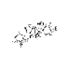 Cc1ccc(-c2csc(NC(=O)c3ccc(F)c(F)c3O)c2C(=O)O)c(F)c1F